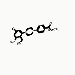 CNC(=O)c1ccc(N2CCN(c3cc(Cl)cc(N)c3C=N)CC2)cc1